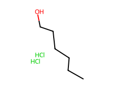 CCCCCCO.Cl.Cl